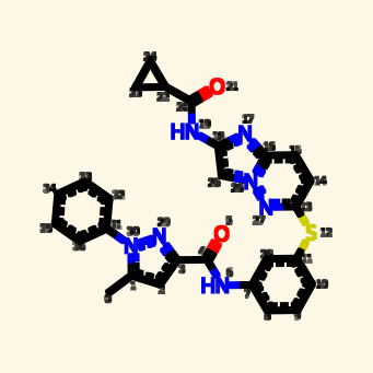 Cc1cc(C(=O)Nc2cccc(Sc3ccc4nc(NC(=O)C5CC5)cn4n3)c2)nn1-c1ccccc1